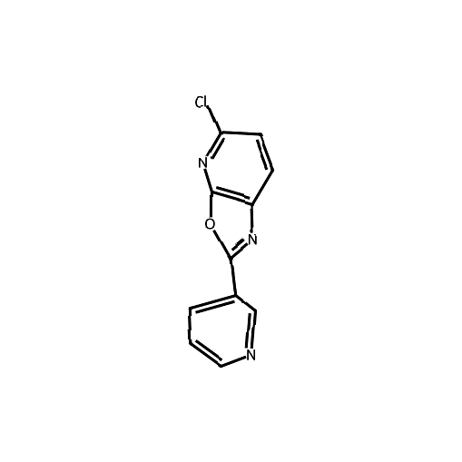 Clc1ccc2nc(-c3cccnc3)oc2n1